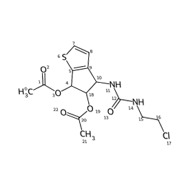 CC(=O)OC1c2sccc2C(NC(=O)NCCCl)C1OC(C)=O